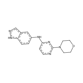 c1cc(Nc2ccc3[nH]ncc3c2)nc(N2CCOCC2)n1